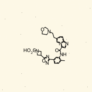 Cc1ccc(-c2noc(C3CN(C(=O)O)C3)n2)cc1NC(=O)c1cnc2ccc(CCN3CCOCC3)cn12